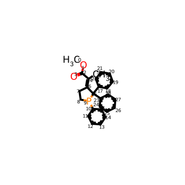 COC(=O)C(C)=C1CCP(c2ccccc2)C1(c1ccccc1)c1ccccc1